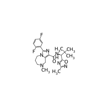 Cc1noc([C@@H](NC(=O)c2nc(-c3cc(F)ccc3F)n3c2CN(C)CCC3)C(C)(C)C)n1